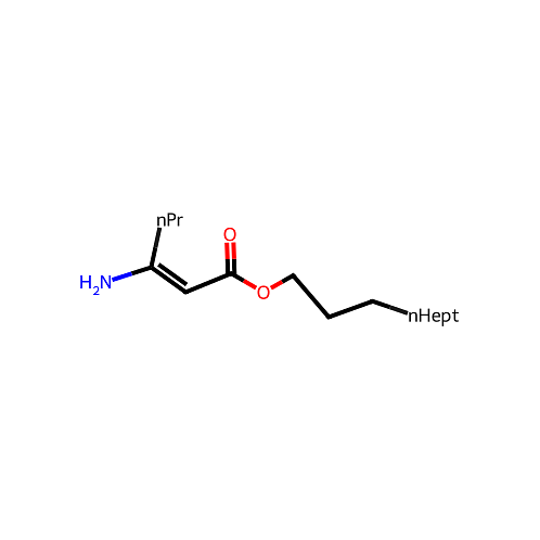 CCCCCCCCCCOC(=O)/C=C(/N)CCC